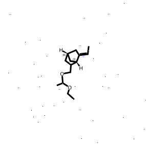 C/C=C1\C[C@H]2CC(COC(C)OCC)[C@@H]1C2